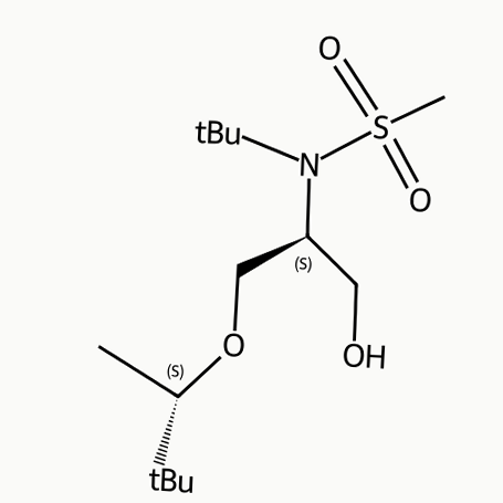 C[C@H](OC[C@H](CO)N(C(C)(C)C)S(C)(=O)=O)C(C)(C)C